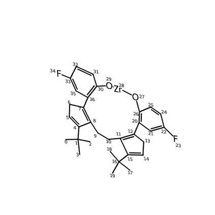 CC(C)(C)C1=CCC2=C1CCC1=C(CC=C1C(C)(C)C)c1cc(F)ccc1[O][Zr][O]c1ccc(F)cc12